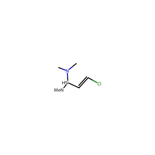 CN[SiH](C=CCl)N(C)C